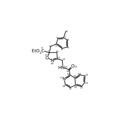 CCOC(=O)C1(Cc2cccc(C)c2)CC(CNC(=O)c2nccc3ccccc23)=NO1